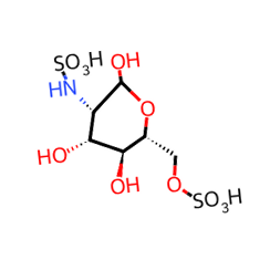 O=S(=O)(O)N[C@@H]1C(O)O[C@H](COS(=O)(=O)O)[C@@H](O)[C@@H]1O